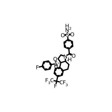 NS(=O)(=O)c1ccc(C(=O)N2CC[C@]3(S(=O)(=O)c4ccc(F)cc4)c4ccc(C(F)(C(F)(F)F)C(F)(F)F)cc4CC[C@H]23)cc1